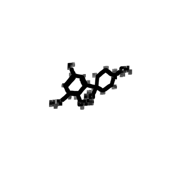 COc1c(N)cc(F)cc1C1(O)CCN(C)CC1